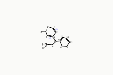 C/C=C\C(=C/CC)C(CNC)C1=CC=CCC1